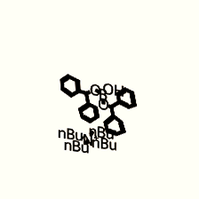 CCCC[N+](CCCC)(CCCC)CCCC.OB(OC(c1ccccc1)c1ccccc1)OC(c1ccccc1)c1ccccc1